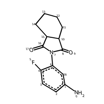 Nc1ccc(F)c(N2C(=O)C3CCCCC3C2=O)c1